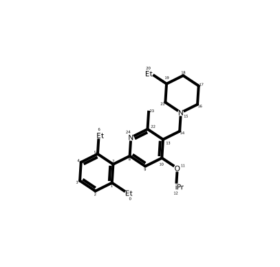 CCc1cccc(CC)c1-c1cc(OC(C)C)c(CN2CCCC(CC)C2)c(C)n1